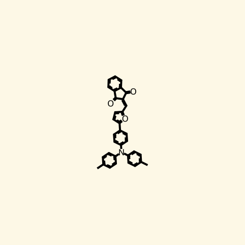 Cc1ccc(N(c2ccc(C)cc2)c2ccc(-c3ccc(C=C4C(=O)c5ccccc5C4=O)o3)cc2)cc1